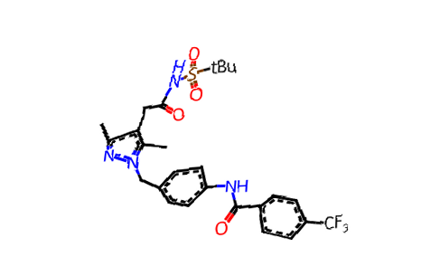 Cc1nn(Cc2ccc(NC(=O)c3ccc(C(F)(F)F)cc3)cc2)c(C)c1CC(=O)NS(=O)(=O)C(C)(C)C